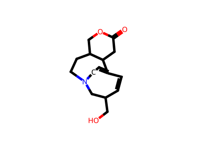 O=C1CC2C3=C\CN(CCC2CO1)CC(CO)/C=C\3